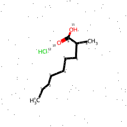 CCCCCCCC(C)C(=O)O.Cl